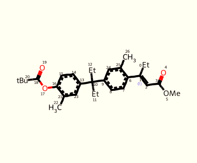 CC/C(=C\C(=O)OC)c1ccc(C(CC)(CC)c2ccc(OC(=O)C(C)(C)C)c(C)c2)cc1C